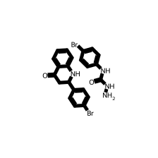 NNC(=O)Nc1ccc(Br)cc1.O=C1CC(c2ccc(Br)cc2)Nc2ccccc21